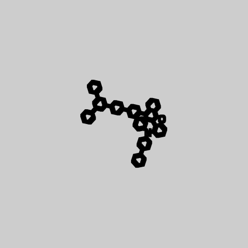 c1ccc(-c2ccc(N(c3ccccc3)c3cccc4oc5c6ccccc6c(-c6ccc(-c7ccc(-c8cc(-c9ccccc9)cc(-c9ccccc9)c8)cc7)cc6)cc5c34)cc2)cc1